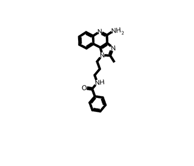 Cc1nc2c(N)nc3ccccc3c2n1CCCNC(=O)c1ccccc1